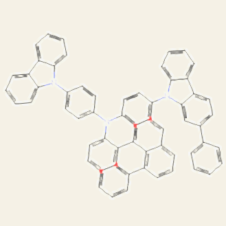 c1ccc(-c2ccc3c4ccccc4n(-c4ccc(N(c5ccc(-n6c7ccccc7c7ccccc76)cc5)c5ccccc5-c5cccc6cccc(-c7ccccc7)c56)cc4)c3c2)cc1